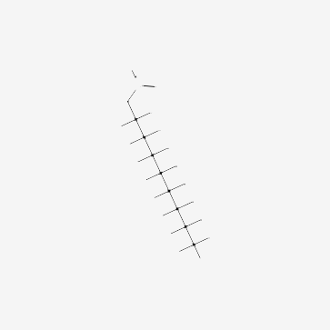 FC(F)(F)C(F)(F)C(F)(F)C(F)(F)C(F)(F)C(F)(F)C(F)(F)C(F)(F)C[SiH](Cl)Cl